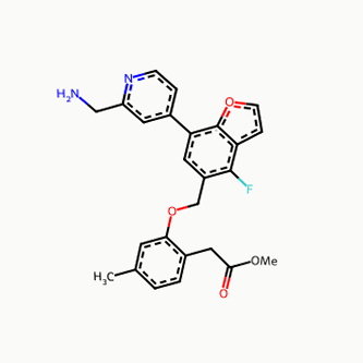 COC(=O)Cc1ccc(C)cc1OCc1cc(-c2ccnc(CN)c2)c2occc2c1F